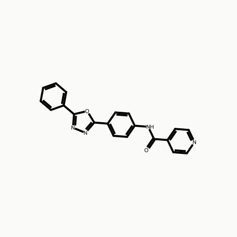 O=C(Nc1ccc(-c2nnc(-c3ccccc3)o2)cc1)c1ccncc1